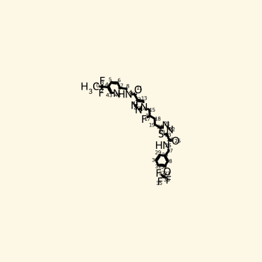 CC(F)(F)c1ccc(CNC(=O)c2cn(CC(F)CCc3nnc(C(=O)NCc4cccc(OC(F)(F)F)c4)s3)nn2)nc1